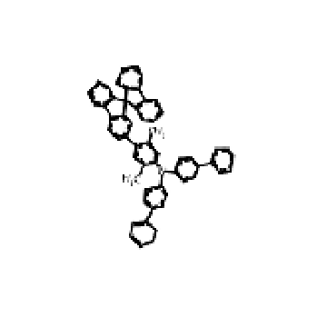 Cc1cc(N(c2ccc(C3=CC=CCC3)cc2)c2ccc(-c3ccccc3)cc2)c(C)cc1-c1ccc2c(c1)C1(c3ccccc3-c3ccccc31)c1ccccc1-2